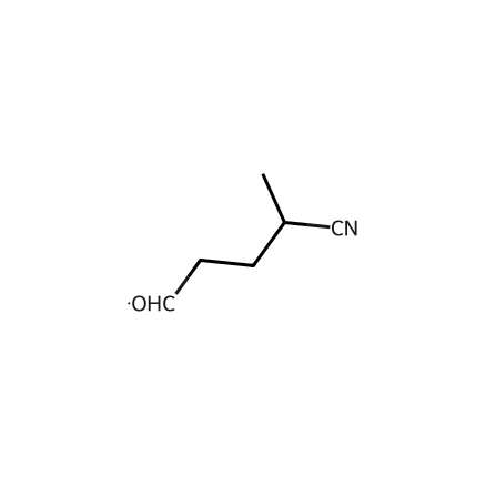 CC(C#N)CC[C]=O